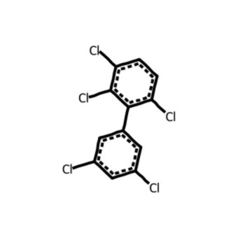 Clc1cc(Cl)cc(-c2c(Cl)ccc(Cl)c2Cl)c1